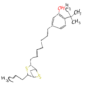 CCCC1SC(CCCCCCCc2ccc(C(C)(C)C)c(O)c2)C2CC1S2